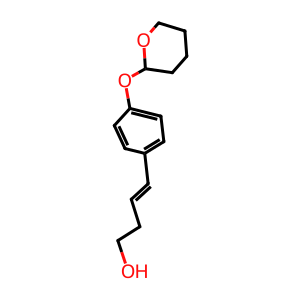 OCC/C=C/c1ccc(OC2CCCCO2)cc1